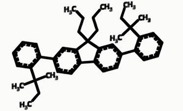 CCCC1(CCC)c2cc(-c3ccccc3C(C)(C)CC)ccc2-c2ccc(-c3ccccc3C(C)(C)CC)cc21